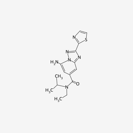 CCN(C(=O)c1cc(N)n2nc(-c3nccs3)nc2c1)C(C)C